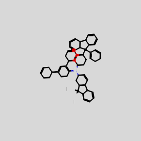 CC1(C)C2C=CC=CC2C2C=CC(N(C3=C(C4C=CC=CC4)C=C(C4CC=CCC4)CC3)C3CCC(C4(C5=CCCC=C5)C5C=CC=CC5C5C=CC=CC54)CC3)CC21